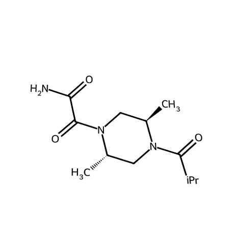 CC(C)C(=O)N1C[C@H](C)N(C(=O)C(N)=O)C[C@H]1C